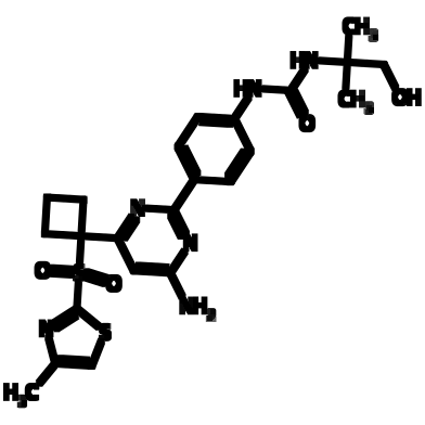 Cc1csc(S(=O)(=O)C2(c3cc(N)nc(-c4ccc(NC(=O)NC(C)(C)CO)cc4)n3)CCC2)n1